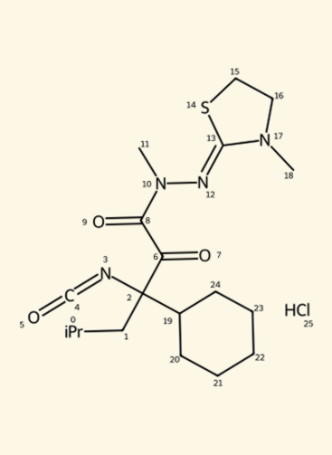 CC(C)CC(N=C=O)(C(=O)C(=O)N(C)N=C1SCCN1C)C1CCCCC1.Cl